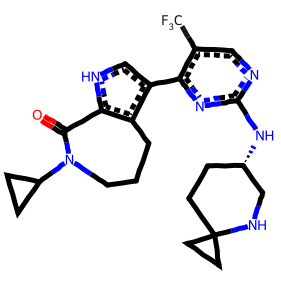 O=C1c2[nH]cc(-c3nc(N[C@H]4CCC5(CC5)NC4)ncc3C(F)(F)F)c2CCCN1C1CC1